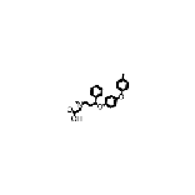 Cc1ccc(Oc2ccc(OC(CCN(C)CC(=O)O)c3ccccc3)cc2)cc1